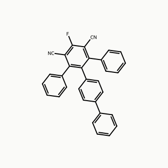 N#Cc1c(F)c(C#N)c(-c2ccccc2)c(-c2ccc(-c3ccccc3)cc2)c1-c1ccccc1